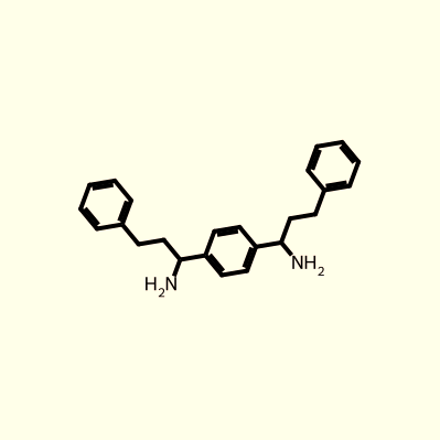 NC(CCc1ccccc1)c1ccc(C(N)CCc2ccccc2)cc1